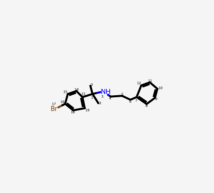 CC(C)(NCCCc1ccccc1)c1ccc(Br)cc1